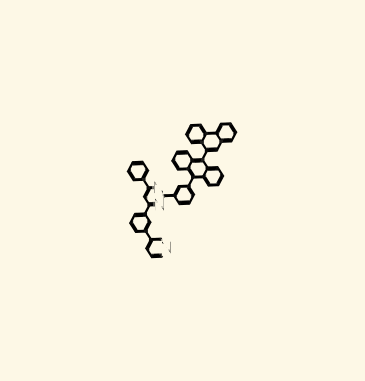 c1ccc(-c2cc(-c3cccc(-c4cccnc4)c3)nc(-c3cccc(-c4c5ccccc5c(-c5cc6ccccc6c6ccccc56)c5ccccc45)c3)n2)cc1